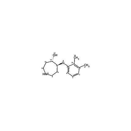 Cc1cccc(O[C@H]2CCNCC[C@@H]2O)c1C